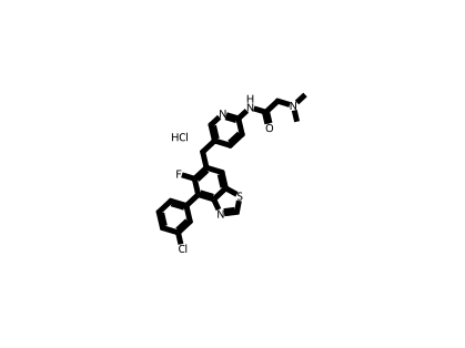 CN(C)CC(=O)Nc1ccc(Cc2cc3scnc3c(-c3cccc(Cl)c3)c2F)cn1.Cl